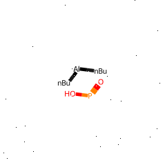 CCC[CH2][Al][CH2]CCC.O=PO